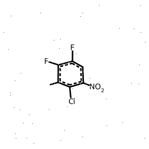 Cc1c(F)c(F)cc([N+](=O)[O-])c1Cl